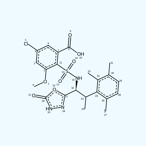 COc1cc(Cl)cc(C(=O)O)c1S(=O)(=O)N[C@H](c1n[nH]c(=O)o1)C(C)c1c(F)ccc(C)c1C